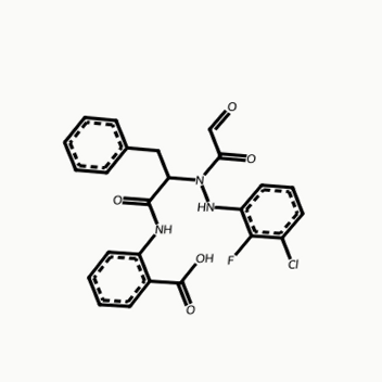 O=CC(=O)N(Nc1cccc(Cl)c1F)C(Cc1ccccc1)C(=O)Nc1ccccc1C(=O)O